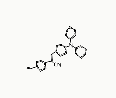 C=Cc1ccc(/C(C#N)=C/c2ccc(N(c3ccccc3)c3ccccc3)cc2)cc1